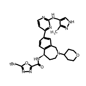 Cc1n[nH]cc1Nc1nccc(-c2ccc3c(c2)CN(C2CCOCC2)CC[C@H]3NC(=O)c2nnc(C(C)(C)C)o2)n1